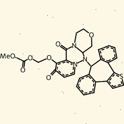 COC(=O)OCOc1c2n(ccc1=O)N(C1c3ccccc3-c3ccsc3-c3ccccc31)C1COCCN1C2=O